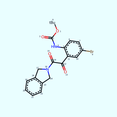 CC(C)(C)OC(=O)Nc1ccc(Br)cc1C(=O)C(=O)N1Cc2ccccc2C1